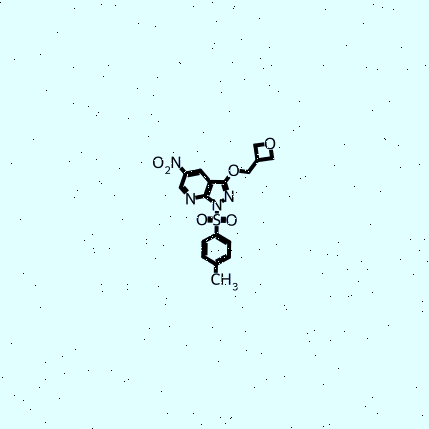 Cc1ccc(S(=O)(=O)n2nc(OCC3COC3)c3cc([N+](=O)[O-])cnc32)cc1